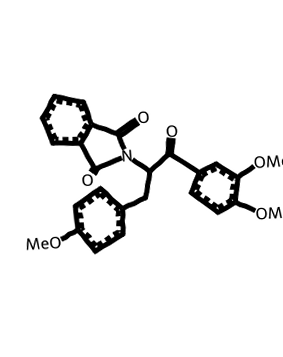 COc1ccc(CC(C(=O)c2ccc(OC)c(OC)c2)N2C(=O)c3ccccc3C2=O)cc1